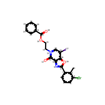 Cc1c(Br)cccc1-c1nc2c(=O)n(CCOC(=O)c3ccccc3)cc(I)c2o1